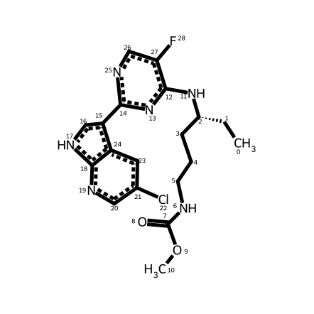 CC[C@H](CCCNC(=O)OC)Nc1nc(-c2c[nH]c3ncc(Cl)cc23)ncc1F